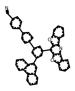 N#Cc1ccc(-c2ccc(-c3cc(-c4cc5ccccc5c5ccccc45)cc(-c4c5oc6ccccc6c5nc5c4oc4ccccc45)c3)cc2)cc1